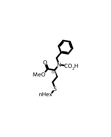 CCCCCCSCC[C@@H](C(=O)OC)N(Cc1ccccc1)C(=O)O